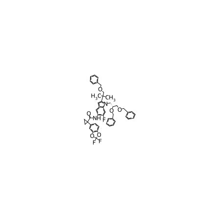 CC(C)(COCc1ccccc1)c1cc2cc(NC(=O)C3(c4ccc5c(c4)OC(F)(F)O5)CC3)c(F)cc2n1C[C@H](COCc1ccccc1)OCc1ccccc1